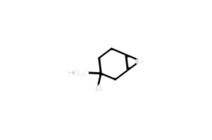 CCC1(C(=O)O)CCC2OC2C1